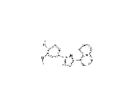 COc1ccc(-c2nc(-c3cccc4ccccc34)c[nH]2)cc1OC